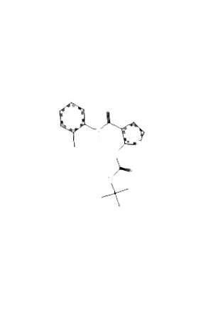 Cc1ccccc1NC(=O)c1ccsc1OC(=O)NC(C)(C)C